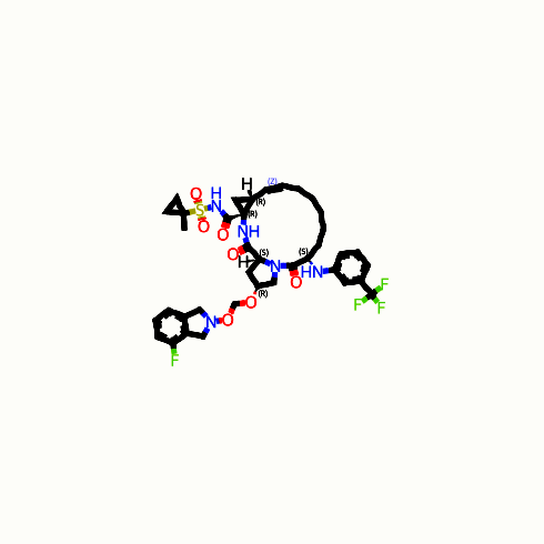 CC1(S(=O)(=O)NC(=O)[C@@]23C[C@@H]2/C=C\CCCCC[C@H](Nc2cccc(C(F)(F)F)c2)C(=O)N2C[C@H](OCON4Cc5cccc(F)c5C4)C[C@H]2C(=O)N3)CC1